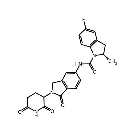 C[C@@H]1Cc2cc(F)ccc2N1C(=O)Nc1ccc2c(c1)CN(C1CCC(=O)NC1=O)C2=O